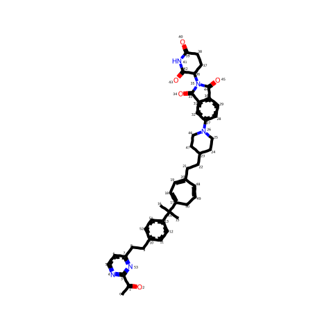 CC(=O)c1nccc(CCc2ccc(C(C)(C)C3=CC=C(CCC4CCN(c5ccc6c(c5)C(=O)N(C5CCC(=O)NC5=O)C6=O)CC4)C=CC3)cc2)n1